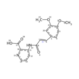 COc1ccc(/C=C/C(=O)Nc2cccnc2C(=O)O)cc1OC